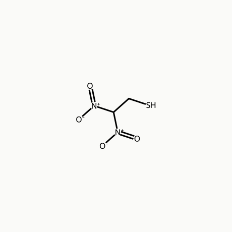 O=[N+]([O-])C(CS)[N+](=O)[O-]